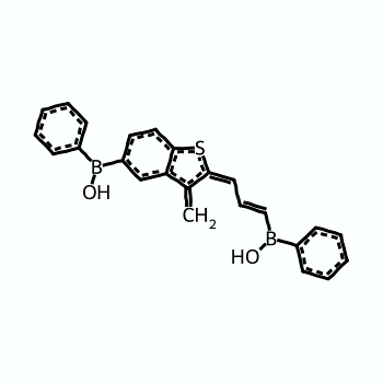 C=c1/c(=C\C=C\B(O)c2ccccc2)sc2ccc(B(O)c3ccccc3)cc12